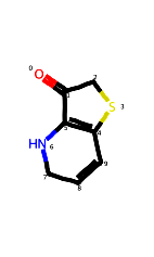 O=C1CSC2=C1NCC=[C]2